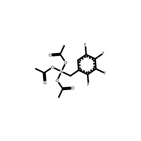 CC(=O)O[Si](Cc1cc(F)c(F)c(F)c1F)(OC(C)=O)OC(C)=O